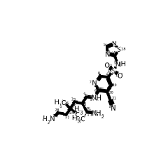 C[C@@H](N)C(CNc1ncc(S(=O)(=O)Nc2ncns2)cc1C#N)CC(C)(C)CCN